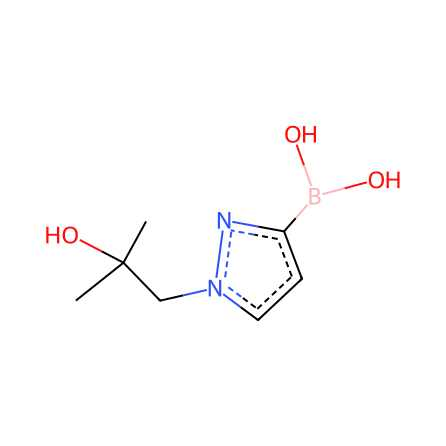 CC(C)(O)Cn1ccc(B(O)O)n1